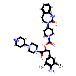 Nc1c(C(F)(F)F)cc(CC(OC(=O)N2CCC(N3CCc4ccccc4NC3=O)CC2)C(=O)N2CCN(C3CCNCC3)CC2)cc1C(F)(F)F